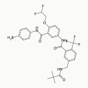 Bc1ccc(NC(=O)c2cc(NC(=O)c3cc(CNC(=O)C(C)(C)C)ccc3C(F)(F)F)ccc2OCC(F)F)cc1